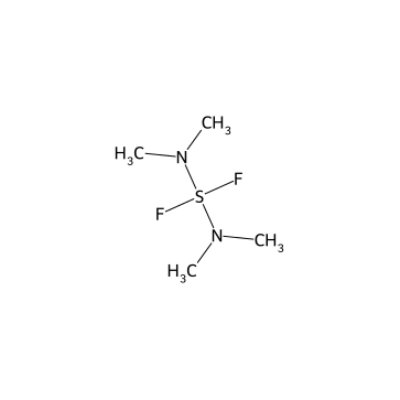 CN(C)S(F)(F)N(C)C